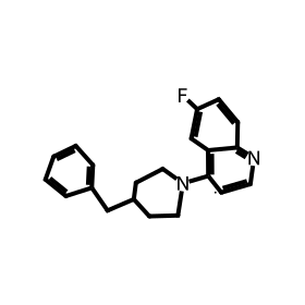 Fc1ccc2nc[c]c(N3CCC(Cc4ccccc4)CC3)c2c1